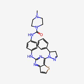 CN1CCN(C(=O)Nc2ccc(Nc3nc(N4N=CCC4c4ccccc4)c4sccc4n3)cc2)CC1